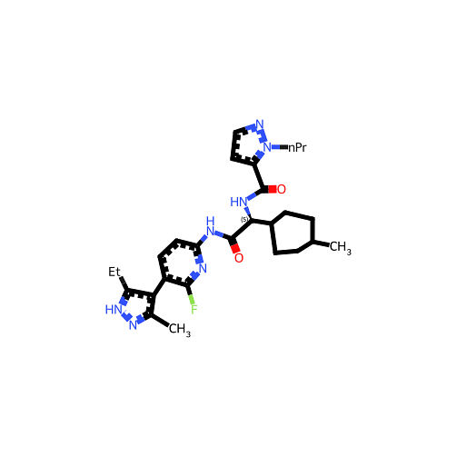 CCCn1nccc1C(=O)N[C@H](C(=O)Nc1ccc(-c2c(C)n[nH]c2CC)c(F)n1)C1CCC(C)CC1